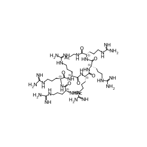 CC(=O)CNC(=O)[C@H](CCCNC(=N)N)NC(=O)[C@H](CCCNC(=N)N)NC(=O)[C@H](CCCNC(=N)N)NC(=O)[C@H](CCCNC(=N)N)NC(=O)[C@H](CCCNC(=N)N)NC(=O)[C@H](CCCNC(=N)N)NC(C)=O